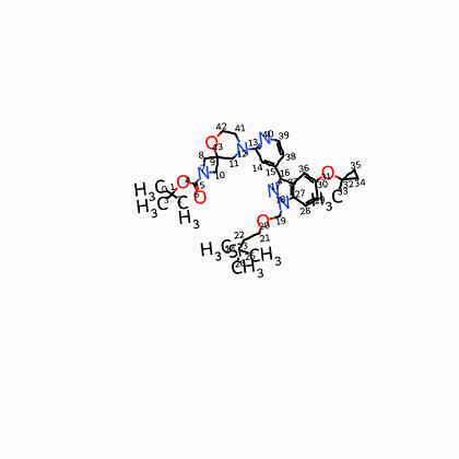 CC(C)(C)OC(=O)N1CC2(C1)CN(c1cc(-c3nn(COCC[Si](C)(C)C)c4ccc(OC5(C)CC5)cc34)ccn1)CCO2